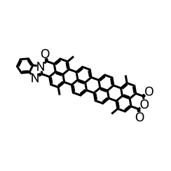 Cc1cc2c3c(cc(C)c4c5ccc6c7ccc8c9c(C)cc%10c%11c(cc(C)c(c%12ccc(c%13ccc(c1c34)c5c%136)c7c%128)c9%11)c(=O)n1c3ccccc3nc%101)C(=O)OC2=O